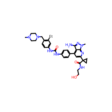 CCc1cc(NC(=O)Nc2ccc(-c3cc(C4(C(=O)NCCO)CC4)nc4c3c(N)nn4C)cc2)ccc1CN1CCN(C)CC1